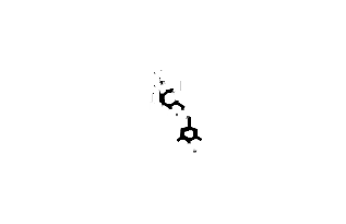 CNC1=N[C@@H]2[C@@H](O)[C@H](O)[C@@H]([C@H](C)OCc3cc(C)c(OC)c(C)c3)O[C@@H]2S1